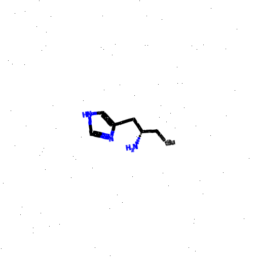 CC(C)(C)C[C@H](N)Cc1c[nH]cn1